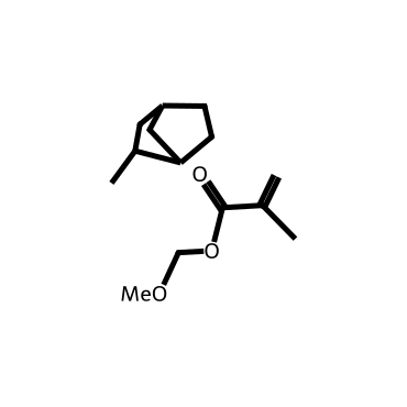 C=C(C)C(=O)OCOC.CC1CC2CCC1C2